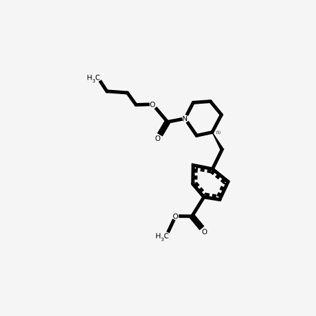 CCCCOC(=O)N1CCC[C@@H](Cc2ccc(C(=O)OC)cc2)C1